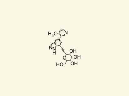 Cc1ccncc1-c1cc(C#CC2OC(CO)[C@@H](O)C(O)C2O)c2[nH]ncc2c1